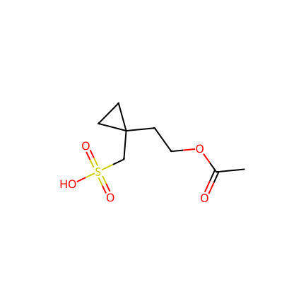 CC(=O)OCCC1(CS(=O)(=O)O)CC1